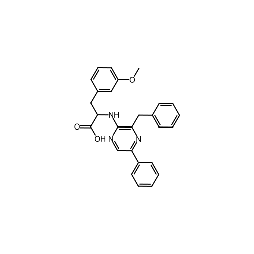 COc1cccc(CC(Nc2ncc(-c3ccccc3)nc2Cc2ccccc2)C(=O)O)c1